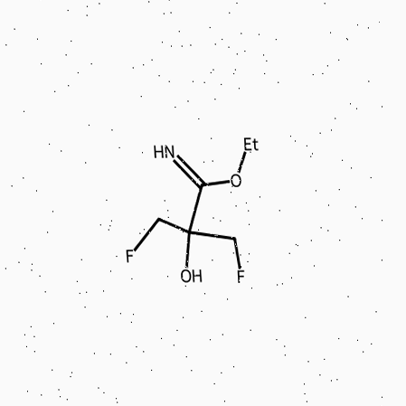 CCOC(=N)C(O)(CF)CF